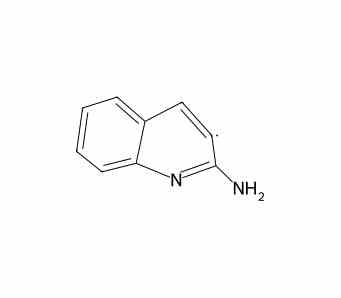 Nc1[c]cc2ccccc2n1